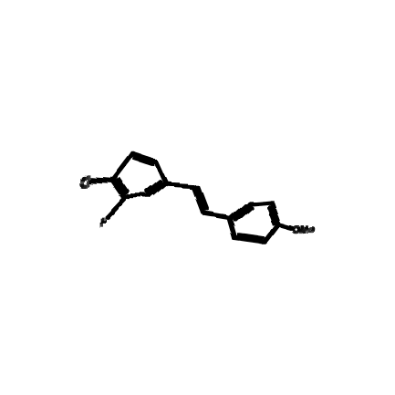 COc1ccc(/C=C/c2ccc(Cl)c(F)c2)cc1